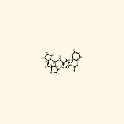 O=C(N=S1(=O)NCc2ccccc21)NC1C2=C(C=C3CCCC31)CCC2